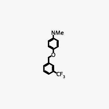 CNc1ccc(OCc2cccc(C(F)(F)F)c2)cc1